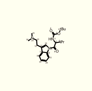 CC(C)C(NC(=O)OC(C)(C)C)C(=O)n1cc(CCN(C)C)c2ccccc21